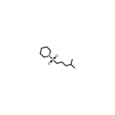 CC(C)CCCS(=O)(=O)N1CCCCC1